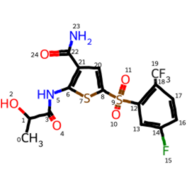 CC(O)C(=O)Nc1sc(S(=O)(=O)c2cc(F)ccc2C(F)(F)F)cc1C(N)=O